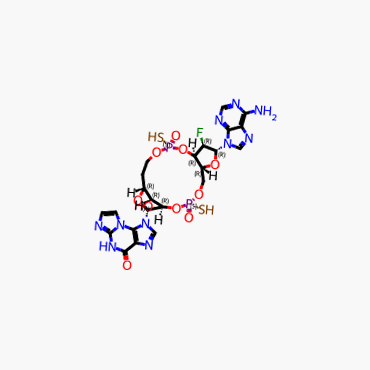 Nc1ncnc2c1ncn2[C@@H]1O[C@@H]2CO[P@](=O)(S)O[C@@H]3[C@H](O)[C@@H](CCO[P@](=O)(S)O[C@H]2[C@H]1F)O[C@H]3n1cnc2c(=O)[nH]c3nccn3c21